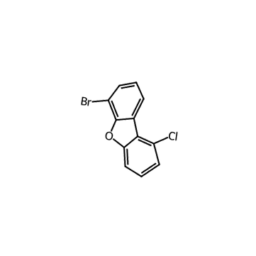 Clc1cccc2oc3c(Br)cccc3c12